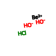 Cl.[Be+2].[OH-].[OH-]